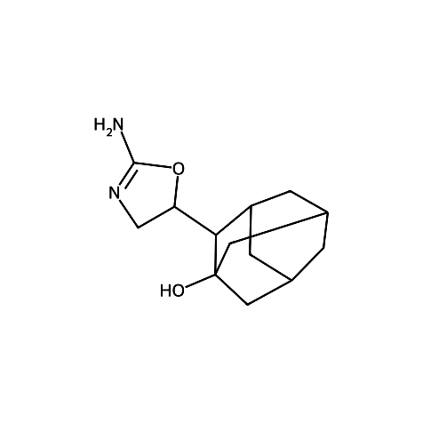 NC1=NCC(C2C3CC4CC(C3)CC2(O)C4)O1